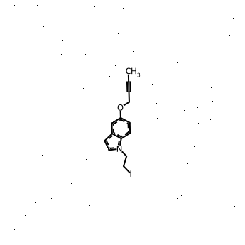 CC#CCOc1ccc2c(ccn2CCI)c1